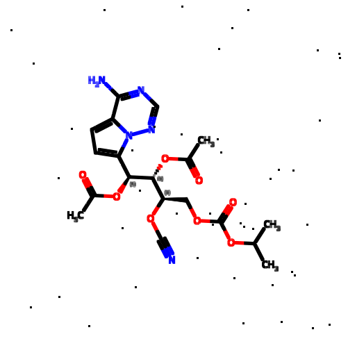 CC(=O)O[C@H]([C@@H](COC(=O)OC(C)C)OC#N)[C@@H](OC(C)=O)c1ccc2c(N)ncnn12